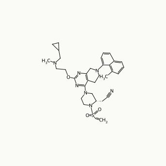 C=CS(=O)(=O)N1CCN(c2nc(OCCN(C)CC3CC3)nc3c2CCN(c2cccc4cccc(C)c24)C3)C[C@@H]1CC#N